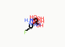 C[C@@H](O)[C@@H](NC(=O)[C@@H]1CC[C@H](CCCCF)CCN1)[C@H]1OC(CN)[C@H](O)C(O)[C@@H]1O